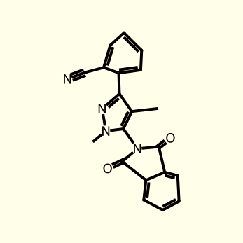 Cc1c(-c2ccccc2C#N)nn(C)c1N1C(=O)c2ccccc2C1=O